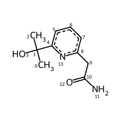 CC(C)(O)c1cccc(CC(N)=O)n1